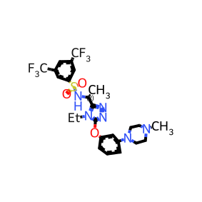 CCn1c(Oc2cccc(N3CCN(C)CC3)c2)nnc1[C@@H](C)NS(=O)(=O)c1cc(C(F)(F)F)cc(C(F)(F)F)c1